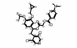 CN(C)c1ccc(C(=O)OCC(=O)OC(Cc2c(Cl)cncc2Cl)c2ccc(OC(F)F)c(OCC3CC3)c2)cn1